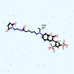 CCN(CCCCCC(=O)NCCN1C(=O)C=CC1=O)c1ccc2cc(-c3sc(S(=O)(=O)[O-])cc3S(=O)(=O)[O-])c(=O)oc2c1.[Na+].[Na+]